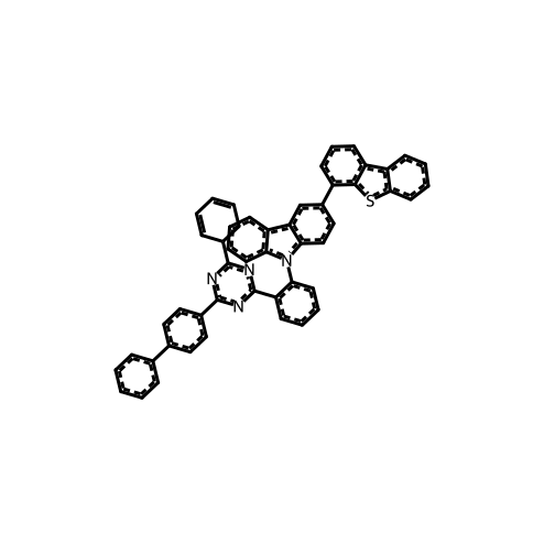 C1=CCC(c2nc(-c3ccc(-c4ccccc4)cc3)nc(-c3ccccc3-n3c4ccccc4c4cc(-c5cccc6c5sc5ccccc56)ccc43)n2)C=C1